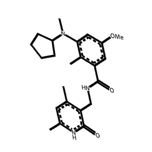 COc1cc(C(=O)NCc2c(C)cc(C)[nH]c2=O)c(C)c(N(C)C2CCCC2)c1